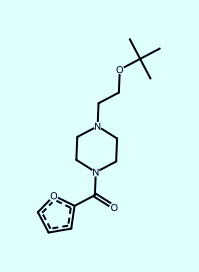 CC(C)(C)OCCN1CCN(C(=O)c2ccco2)CC1